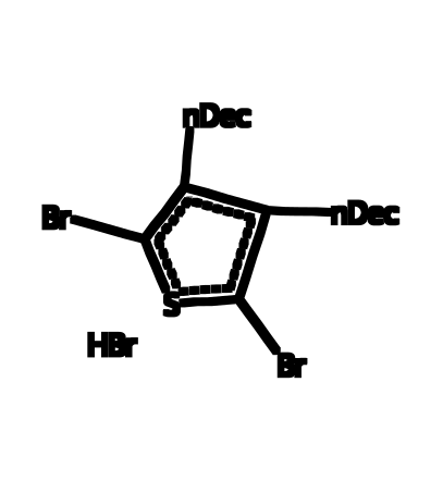 Br.CCCCCCCCCCc1c(Br)sc(Br)c1CCCCCCCCCC